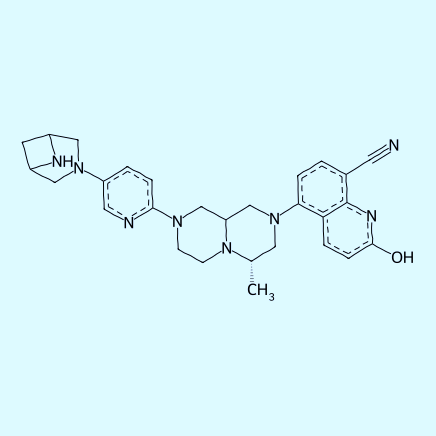 C[C@H]1CN(c2ccc(C#N)c3nc(O)ccc23)CC2CN(c3ccc(N4CC5CC(C4)N5)cn3)CCN21